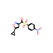 O=C(c1cc(C2CC2)on1)S(=O)(=O)c1ccc([N+](=O)[O-])cc1